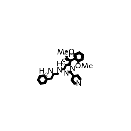 COc1cccc(OC)c1-c1c(C)sc2c(NC[C@@H](N)Cc3ccccc3)nc(-c3ccncc3)nc12